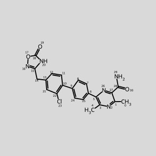 Cc1nc(C)c(-c2ccc(-c3ccc(Cc4noc(=O)[nH]4)cc3Cl)cc2)nc1C(N)=O